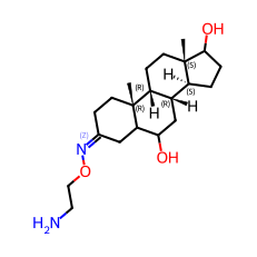 C[C@]12CC/C(=N/OCCN)CC1C(O)C[C@@H]1[C@H]2CC[C@]2(C)C(O)CC[C@@H]12